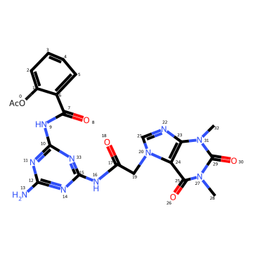 CC(=O)Oc1ccccc1C(=O)Nc1nc(N)nc(NC(=O)Cn2cnc3c2c(=O)n(C)c(=O)n3C)n1